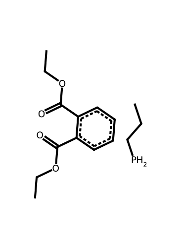 CCCP.CCOC(=O)c1ccccc1C(=O)OCC